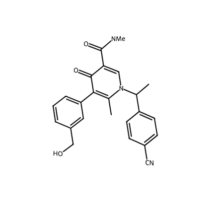 CNC(=O)c1cn(C(C)c2ccc(C#N)cc2)c(C)c(-c2cccc(CO)c2)c1=O